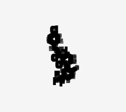 Cc1ccc(C(F)(F)F)cc1-n1cccc(C(=O)NCc2ccc(Cl)cc2)c1=O